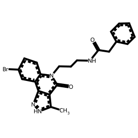 Cc1[nH]nc2c1c(=O)n(CCCNC(=O)Cc1ccccc1)c1ccc(Br)cc21